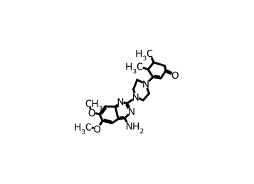 COc1cc2nc(N3CCN(C4=CC(=O)CC(C)C4C)CC3)nc(N)c2cc1OC